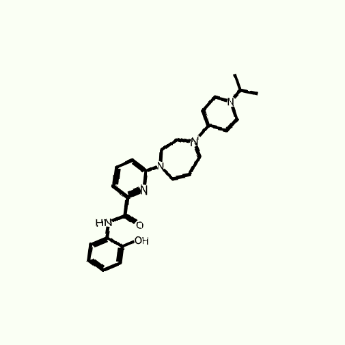 CC(C)N1CCC(N2CCCN(c3cccc(C(=O)Nc4ccccc4O)n3)CC2)CC1